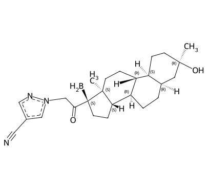 B[C@]1(C(=O)Cn2cc(C#N)cn2)CC[C@H]2[C@@H]3CC[C@@H]4C[C@](C)(O)CC[C@@H]4[C@H]3CC[C@@]21C